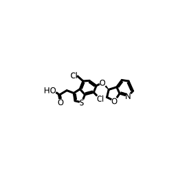 O=C(O)Cc1csc2c(Cl)c(O[C@@H]3COc4ncccc43)cc(Cl)c12